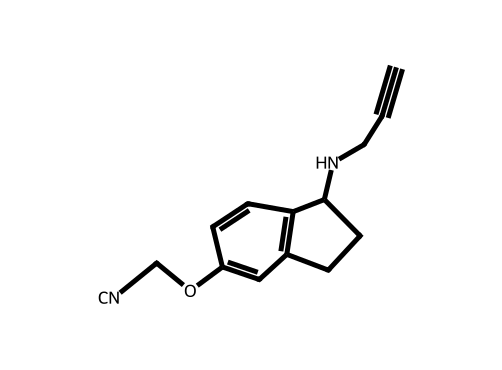 [C-]#[N+]COc1ccc2c(c1)CCC2NCC#C